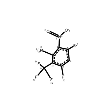 Nc1c([N+](=O)[O-])c(Br)cc(F)c1C(F)(F)F